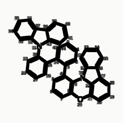 c1ccc(-c2cccc3c2-n2c4ccccc4c4cccc(c42)O3)c(-c2ccccc2-n2c3ccccc3c3ccccc32)c1